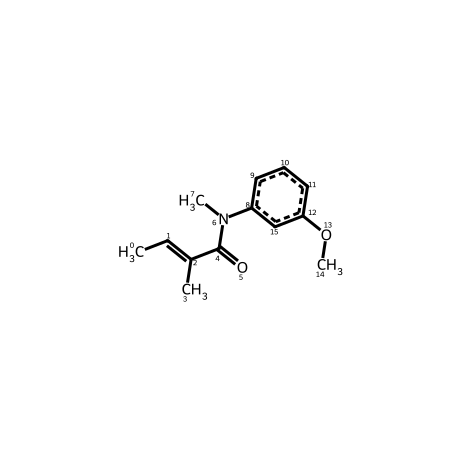 CC=C(C)C(=O)N(C)c1cccc(OC)c1